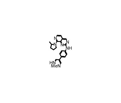 CN/C=C(\C=N)c1ccc(Nc2ncc3ccnc(N4CCCC4C)c3n2)cc1